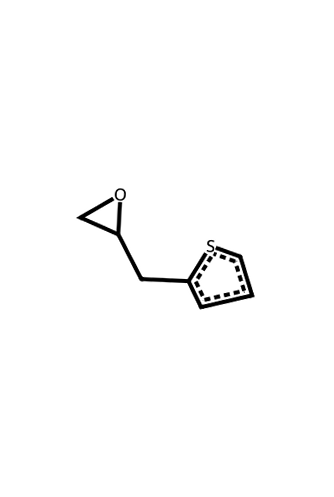 c1csc(CC2CO2)c1